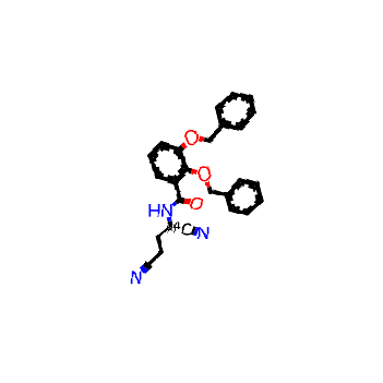 N#CCC[C@H]([14C]#N)NC(=O)c1cccc(OCc2ccccc2)c1OCc1ccccc1